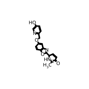 CN1NC(c2nc3cc(OCc4ccc(O)cn4)ccc3o2)C=CC1=O